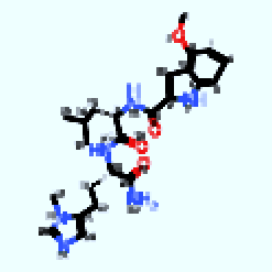 COc1cccc2[nH]c(C(=O)N[C@@H](CC(C)C)C(=O)N[C@@H](CCc3cncn3C)C(N)=O)cc12